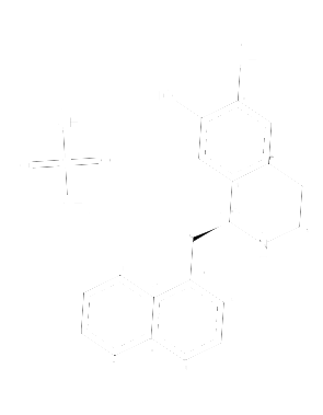 CS(=O)(=O)O.Oc1cc2c(cc1O)[C@H](Cc1cccc3ccccc13)NCC2